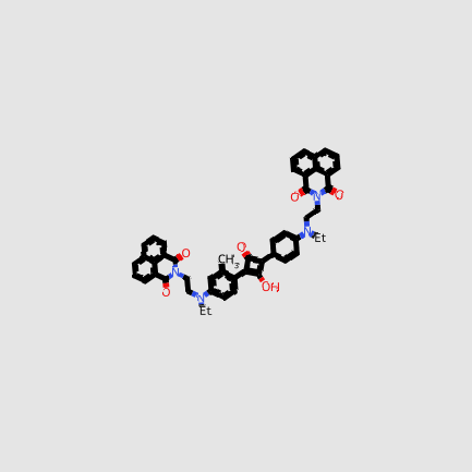 CCN(CCN1C(=O)c2cccc3cccc(c23)C1=O)c1ccc(C2=C(O)C(C3C=CC(N(CC)CCN4C(=O)c5cccc6cccc(c56)C4=O)C=C3)C2=O)c(C)c1